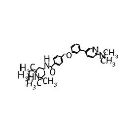 CN(C)c1ccc(-c2cccc(OCc3ccc(C(=O)NC4CC(C)(C)NC(C)(C)C4)cc3)c2)cn1